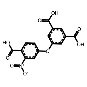 O=C(O)c1cc(Oc2ccc(C(=O)O)c([N+](=O)[O-])c2)cc(C(=O)O)c1